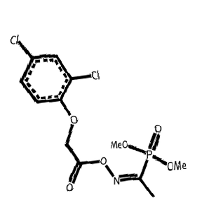 COP(=O)(OC)C(C)=NOC(=O)COc1ccc(Cl)cc1Cl